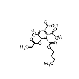 C=CC(=O)Oc1c(C)cc(C(=O)O)c(C(=O)O)c1C(=O)OCCCC